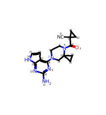 N#CC1(C(=O)N2CCN(c3nc(N)nc4[nH]ccc34)CC23CC3)CC1